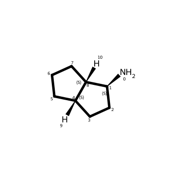 N[C@H]1CC[C@@H]2CCC[C@@H]21